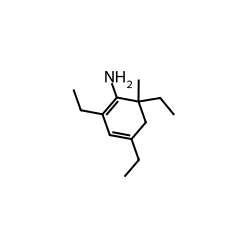 CCC1=CC(CC)=C(N)C(C)(CC)C1